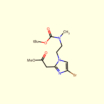 COC(=O)Cc1nc(Br)cn1CCN(C)C(=O)OC(C)(C)C